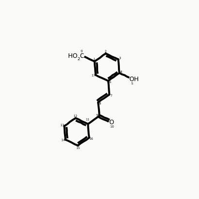 O=C(O)c1ccc(O)c(C=CC(=O)c2ccccc2)c1